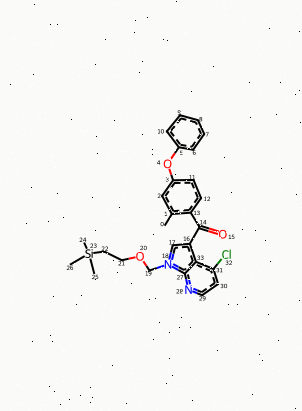 Cc1cc(Oc2ccccc2)ccc1C(=O)c1cn(COCC[Si](C)(C)C)c2nccc(Cl)c12